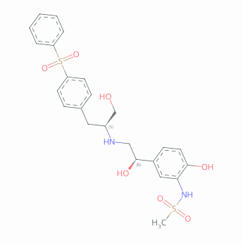 CS(=O)(=O)Nc1cc([C@@H](O)CN[C@H](CO)Cc2ccc(S(=O)(=O)c3ccccc3)cc2)ccc1O